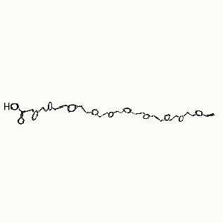 C=COCCOCCOCCOCCOCCOCCOCCOCCOCCOCC(=O)O